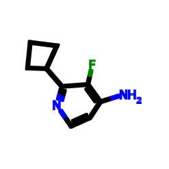 Nc1ccnc(C2CCC2)c1F